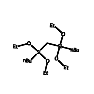 CCCC[Si](C[Si](CCCC)(OCC)OCC)(OCC)OCC